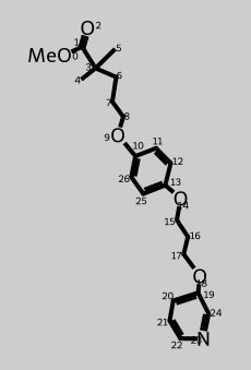 COC(=O)C(C)(C)CCCOc1ccc(OCCCOc2cccnc2)cc1